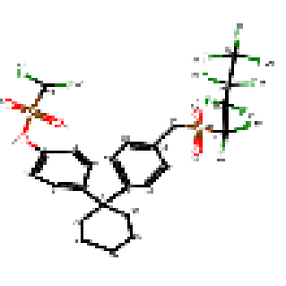 O=S(=O)(Oc1ccc(C2(c3ccc(CS(=O)(=O)C(F)(F)C(F)(F)C(F)(F)C(F)(F)F)cc3)CCCCC2)cc1)C(F)F